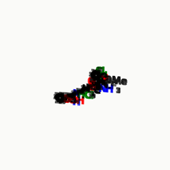 COC(=O)C1=C(C(F)(F)F)NC(C)=C(C(=O)OCCCCCNCC(O)COc2ccccc2)C1c1cccc(Cl)c1Cl.Cl